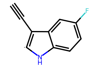 C#Cc1[c][nH]c2ccc(F)cc12